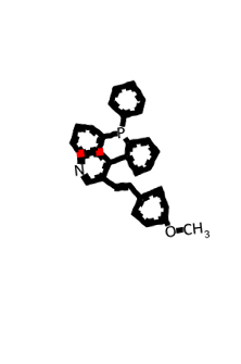 COc1ccc(/C=C/c2cnccc2-c2ccccc2P(c2ccccc2)c2ccccc2)cc1